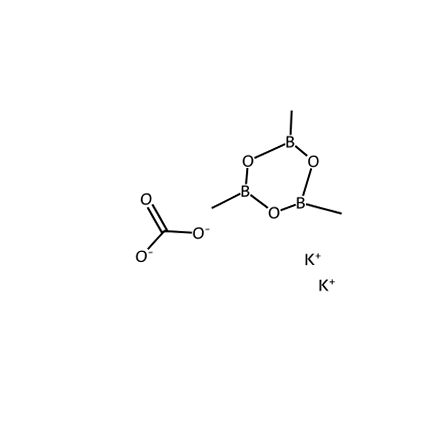 CB1OB(C)OB(C)O1.O=C([O-])[O-].[K+].[K+]